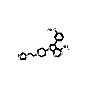 COc1cccc(-c2cn(C3CCN(CCn4ccnc4)CC3)c3ncnc(N)c23)c1